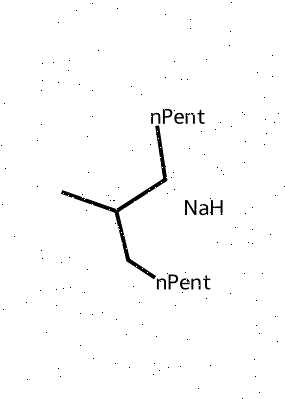 [CH2]CCCCCC(C)CCCCCC.[NaH]